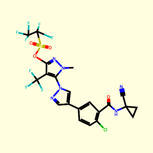 Cn1nc(OS(=O)(=O)C(F)(F)C(F)(F)F)c(C(F)(F)F)c1-n1cc(-c2ccc(Cl)c(C(=O)NC3(C#N)CC3)c2)cn1